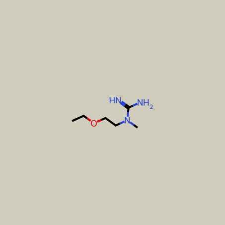 CCOCCN(C)C(=N)N